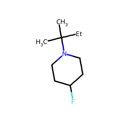 CCC(C)(C)N1CCC(F)CC1